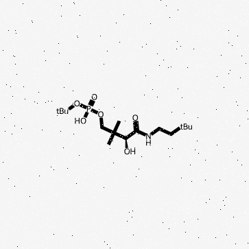 CC(C)(C)CCNC(=O)[C@@H](O)C(C)(C)COP(=O)(O)OC(C)(C)C